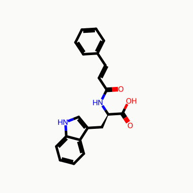 O=C(C=Cc1ccccc1)N[C@H](Cc1c[nH]c2ccccc12)C(=O)O